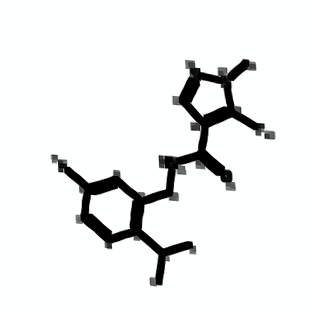 CC(C)c1ccc(F)cc1CNC(=O)c1cnn(C)c1F